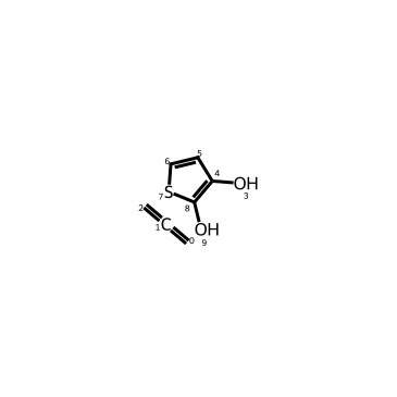 C=C=C.Oc1ccsc1O